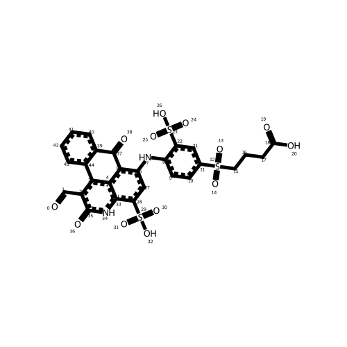 O=Cc1c2c3c(c(Nc4ccc(S(=O)(=O)CCCC(=O)O)cc4S(=O)(=O)O)cc(S(=O)(=O)O)c3[nH]c1=O)C(=O)c1ccccc1-2